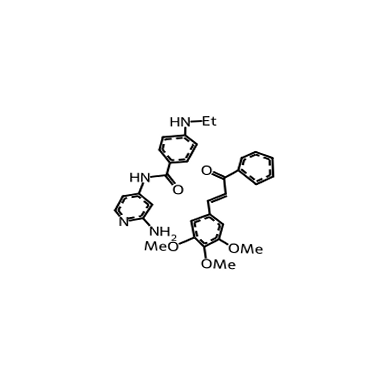 CCNc1ccc(C(=O)Nc2ccnc(N)c2)cc1.COc1cc(C=CC(=O)c2ccccc2)cc(OC)c1OC